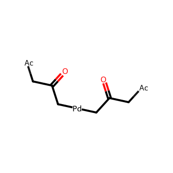 CC(=O)CC(=O)[CH2][Pd][CH2]C(=O)CC(C)=O